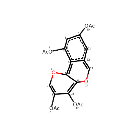 CC(=O)OC1=COC2=c3c(OC(C)=O)cc(OC(C)=O)cc3=COC2=C1OC(C)=O